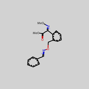 CO/N=C(\C(=O)OC)c1ccccc1CO/N=C/c1ccccc1